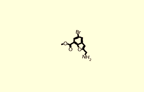 COC(=O)c1cc(Br)cc2cc(CN)oc12